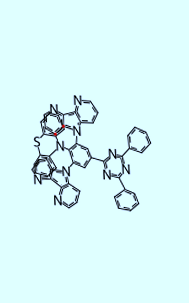 c1ccc(-c2nc(-c3ccccc3)nc(-c3cc(-n4c5cccnc5c5ncccc54)c(N4c5ccccc5Sc5ccccc54)c(-n4c5cccnc5c5ncccc54)c3)n2)cc1